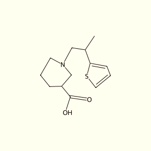 CC(CN1CCCC(C(=O)O)C1)c1cccs1